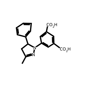 CC1=NN(c2cc(C(=O)O)cc(C(=O)O)c2)C(c2ccccc2)C1